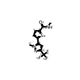 CNC(=O)c1ccc(-c2cc(C(F)(F)F)nn2C)s1